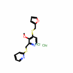 COc1c(SCc2ccco2)ccnc1CSc1ccccn1.Cl.Cl